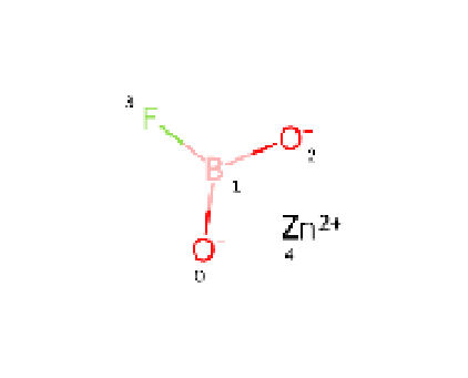 [O-]B([O-])F.[Zn+2]